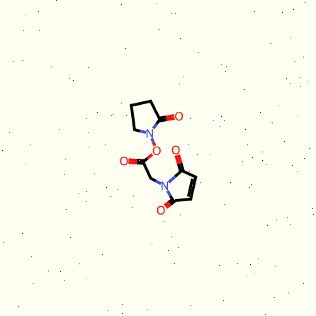 O=C(CN1C(=O)C=CC1=O)ON1CCCC1=O